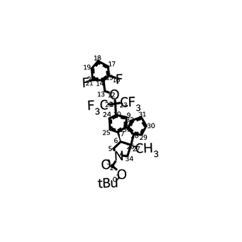 CC(C)(C)OC(=O)N1C[C@@H](c2ccc(C(OCc3c(F)cccc3F)(C(F)(F)F)C(F)(F)F)cc2)[C@@](C)(c2ccccc2)C1